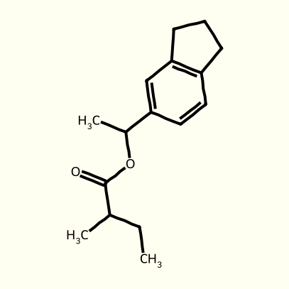 CCC(C)C(=O)OC(C)c1ccc2c(c1)CCC2